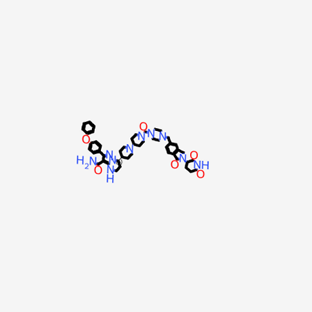 NC(=O)c1c(-c2ccc(Oc3ccccc3)cc2)nn2c1NCC[C@H]2C1CCN(C2CCN(C(=O)N3CCN(Cc4ccc5c(c4)CN(C4CCC(=O)NC4=O)C5=O)CC3)CC2)CC1